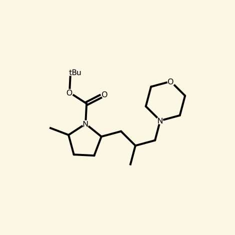 CC(CC1CCC(C)N1C(=O)OC(C)(C)C)CN1CCOCC1